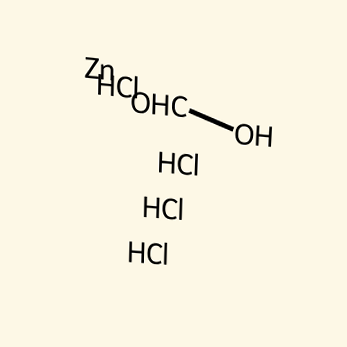 Cl.Cl.Cl.Cl.O=CO.[Zn]